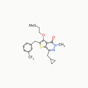 CSCCOc1c(Cc2cccc(C(F)(F)F)c2)sc2c(CC3CC3)nn(C)c(=O)c12